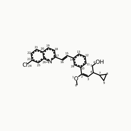 CO/C(=C/C(CO)C1CC1)c1cccc(/C=C/c2ccc3ccc(Cl)cc3n2)c1